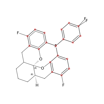 Fc1ccc(P(c2ccc(F)cc2)c2cccc3c2O[C@]24Oc5c(cccc5P(c5ccc(F)cc5)c5ccc(F)cc5)C[C@H]2CCCC4C3)cc1